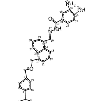 CC(C)c1ccc(COCc2cccc3c(/C=N/NC(=O)c4ccc(O)c(N)c4)cccc23)cc1